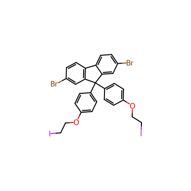 Brc1ccc2c(c1)C(c1ccc(OCCI)cc1)(c1ccc(OCCI)cc1)c1cc(Br)ccc1-2